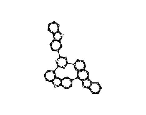 c1ccc(-c2nc(-c3ccc4c(c3)oc3ccccc34)nc(-c3cccc4oc5ccc(-c6cccc7c6sc6ccccc67)cc5c34)n2)cc1